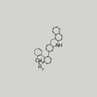 CC1=C(c2c(C)cccc2-c2ccc3c(c2)Nc2ccc4ccccc4c2C3)C=CCC1